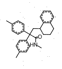 CNC(=O)C(CC1CCCc2[c]cccc21)(c1ccc(C)cc1)c1ccc(C)cc1